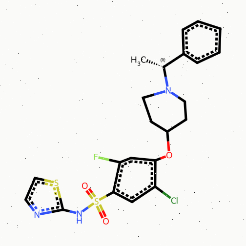 C[C@H](c1ccccc1)N1CCC(Oc2cc(F)c(S(=O)(=O)Nc3nccs3)cc2Cl)CC1